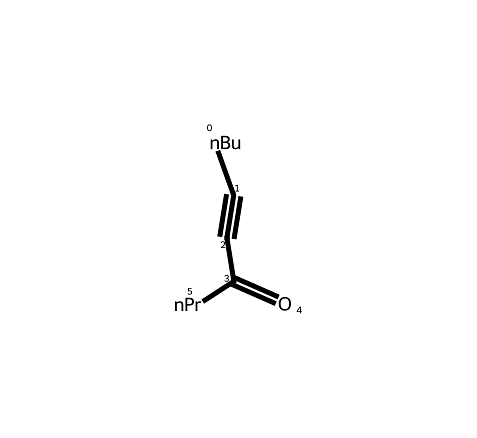 CCCCC#CC(=O)CCC